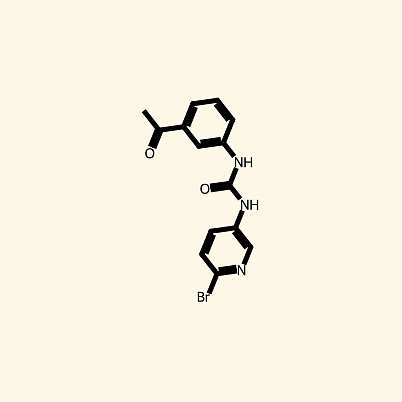 CC(=O)c1cccc(NC(=O)Nc2ccc(Br)nc2)c1